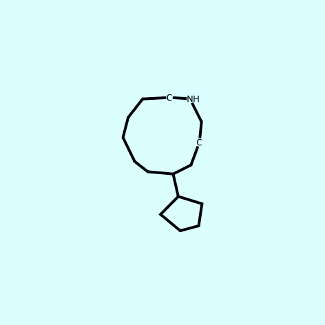 C1CCCC(C2CCCC2)CCCNCC1